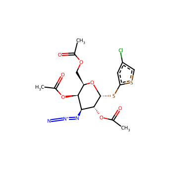 CC(=O)OC[C@H]1O[C@H](Sc2cc(Cl)cs2)[C@H](OC(C)=O)[C@@H](N=[N+]=[N-])[C@H]1OC(C)=O